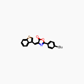 CC(C)(C)c1ccc(C2=N/C(=C/c3csc4ccccc34)C(=O)O2)cc1